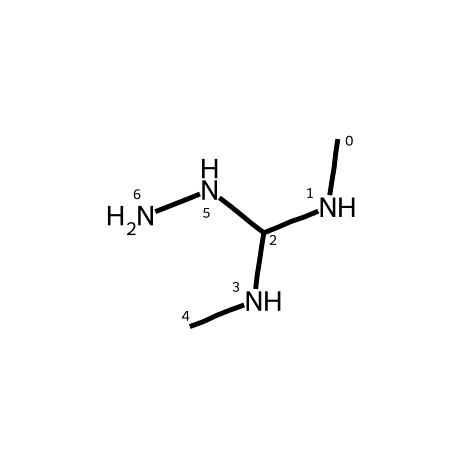 CNC(NC)NN